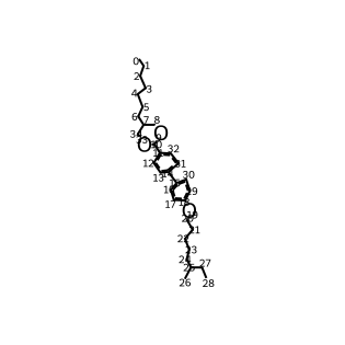 CCCCCCCC1COC(c2ccc(-c3ccc(OCCCCCC(C)CC)cc3)cc2)OC1